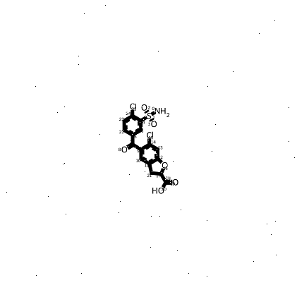 NS(=O)(=O)c1cc(C(=O)c2cc3c(cc2Cl)OC(C(=O)O)C3)ccc1Cl